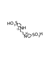 CC1(C)C(C=CC=C2Nc3ccc(S(=O)(=O)O)cc3C2(C)C)=Nc2ccc(S(=O)(=O)O)cc21